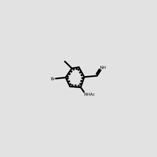 CC(=O)Nc1cc(Br)c(C)cc1C=N